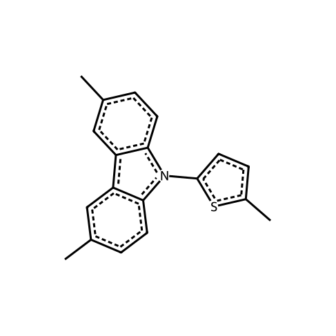 Cc1ccc2c(c1)c1cc(C)ccc1n2-c1ccc(C)s1